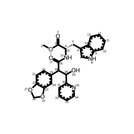 COC(=O)[C@H](Cc1c[nH]c2ccccc12)NC(=O)C(c1ccc2c(c1)OCO2)C(O)c1ccccn1